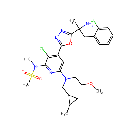 COCCN(CC1CC1C)c1cc(-c2nnc(C(C)(N)Cc3ccccc3Cl)o2)c(Cl)c(N(C)S(C)(=O)=O)n1